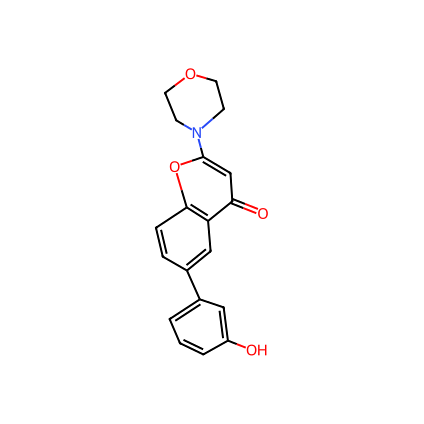 O=c1cc(N2CCOCC2)oc2ccc(-c3cccc(O)c3)cc12